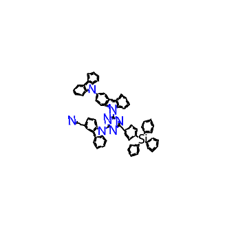 N#Cc1ccc2c(c1)c1ccccc1n2-c1nc(-c2ccc([Si](c3ccccc3)(c3ccccc3)c3ccccc3)cc2)nc(-n2c3ccccc3c3cc(-n4c5ccccc5c5ccccc54)ccc32)n1